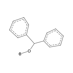 [B]OC(c1ccccc1)c1ccccc1